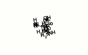 CSc1sc(C(=N)N)cc1S(=O)(=O)c1cc(-c2ccccc2C)ccc1NC(=O)NCCCCc1nn[nH]n1.O=C(O)C(F)(F)F